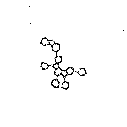 c1ccc(-c2ccc3c4c5c6ccc(-c7ccc8sc9ccccc9c8c7)cc6n(-c6ccccc6)c5cc(-c5ccccc5)c4n(-c4ccccc4)c3c2)cc1